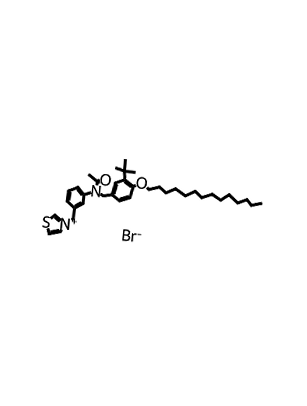 CCCCCCCCCCCCCCOc1ccc(CN(C(C)=O)c2cccc(C[n+]3ccsc3)c2)cc1C(C)(C)C.[Br-]